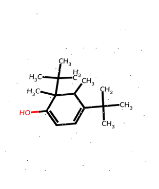 CC1C(C(C)(C)C)=CC=C(O)C1(C)C(C)(C)C